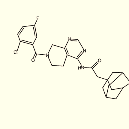 O=C(CC12CC3CC(CC(C3)C1)C2)Nc1ncnc2c1CCN(C(=O)c1cc(F)ccc1Cl)C2